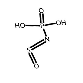 O=S=NP(=O)(O)O